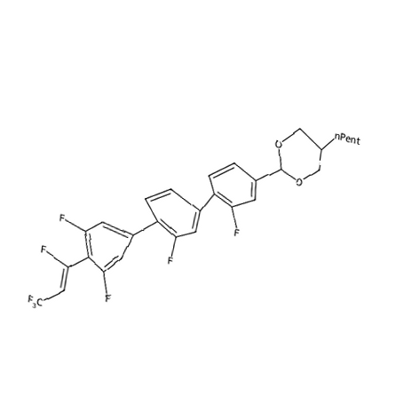 CCCCCC1COC(c2ccc(-c3ccc(-c4cc(F)c(/C(F)=C/C(F)(F)F)c(F)c4)c(F)c3)c(F)c2)OC1